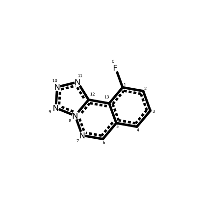 Fc1cccc2cnn3nnnc3c12